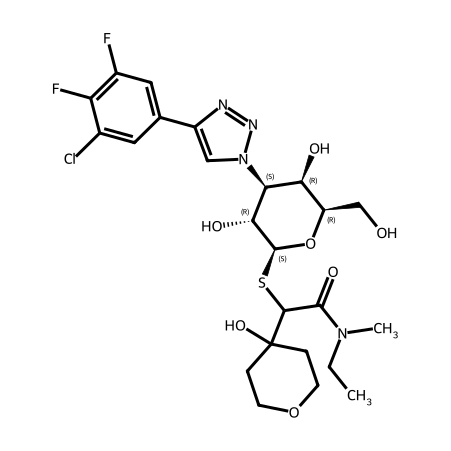 CCN(C)C(=O)C(S[C@@H]1O[C@H](CO)[C@H](O)[C@H](n2cc(-c3cc(F)c(F)c(Cl)c3)nn2)[C@H]1O)C1(O)CCOCC1